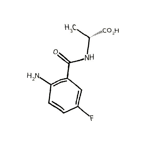 C[C@@H](NC(=O)c1cc(F)ccc1N)C(=O)O